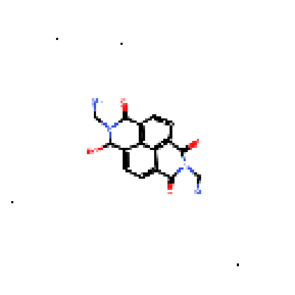 NCN1C(=O)c2ccc3c4c(ccc(c24)C1=O)C(O)N(CN)C3=O